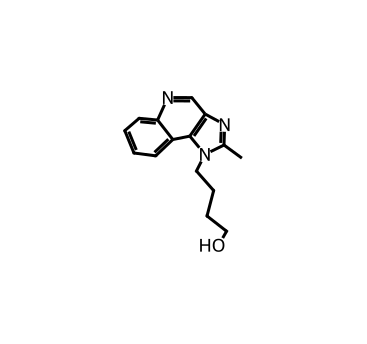 Cc1nc2cnc3ccccc3c2n1CCCCO